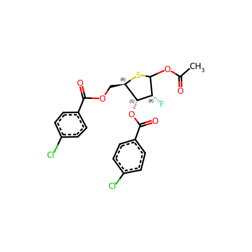 CC(=O)OC1S[C@H](COC(=O)c2ccc(Cl)cc2)[C@@H](OC(=O)c2ccc(Cl)cc2)[C@H]1F